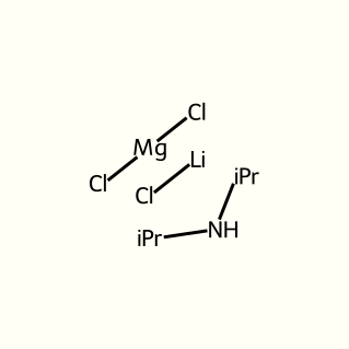 CC(C)NC(C)C.[Cl][Mg][Cl].[Li][Cl]